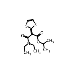 CCN(CC)C(=O)C(C(=O)OC(C)C)=C1SC=CS1